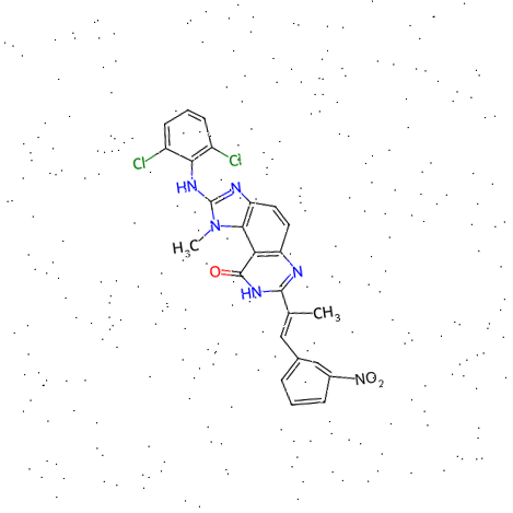 C/C(=C\c1cccc([N+](=O)[O-])c1)c1nc2ccc3nc(Nc4c(Cl)cccc4Cl)n(C)c3c2c(=O)[nH]1